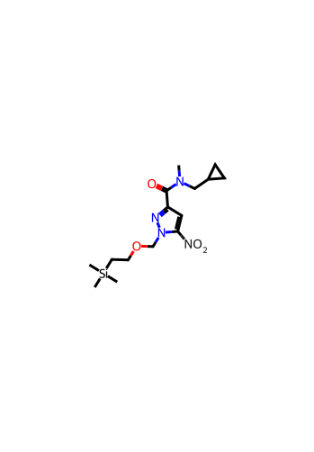 CN(CC1CC1)C(=O)c1cc([N+](=O)[O-])n(COCC[Si](C)(C)C)n1